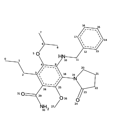 CCCc1c(OC(C)C)c(NCc2ccccc2)c(N2CCCC2=O)c(OC)c1C(N)=O